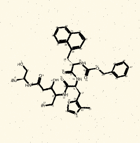 CCC(C)[C@@H](CO)NC(=O)CC(O)C(CC(C)C)NC(=O)[C@H](Cc1scnc1C)NC(=O)[C@H](Cc1cccc2ccccc12)NC(=O)OCc1ccccc1